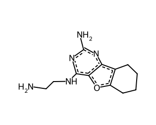 NCCNc1nc(N)nc2c3c(oc12)CCCC3